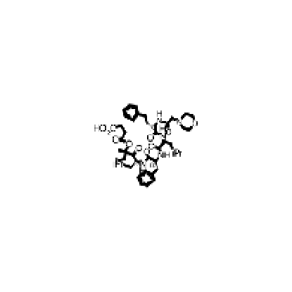 CC(C)CC(NC(=O)[C@H](CCc1ccccc1)NC(=O)CN1CCOCC1)C(=O)N[C@@H](Cc1ccccc1)C(=O)N[C@@H](CC(C)C)C(=O)C(C)(CI)OC(=O)CCC(=O)O